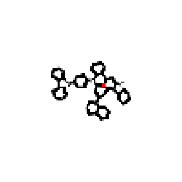 c1cc(-c2cccc3ccccc23)cc(N(c2ccc(-n3c4ccccc4c4ccccc43)cc2)c2ccccc2-c2ccc3c(c2)oc2ccccc23)c1